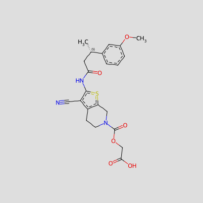 COc1cccc([C@@H](C)CC(=O)Nc2sc3c(c2C#N)CCN(C(=O)OCC(=O)O)C3)c1